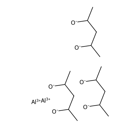 CC([O-])CC(C)[O-].CC([O-])CC(C)[O-].CC([O-])CC(C)[O-].[Al+3].[Al+3]